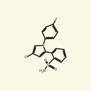 NS(=O)(=O)c1ccccc1-c1cc(Cl)cn1-c1ccc(F)cc1